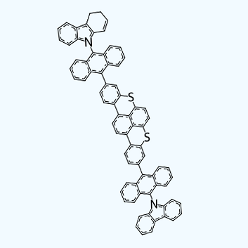 C1=Cc2c(c3ccccc3n2-c2c3ccccc3c(-c3ccc4c(c3)Sc3ccc5c6c(ccc-4c36)-c3ccc(-c4c6ccccc6c(-n6c7ccccc7c7ccccc76)c6ccccc46)cc3S5)c3ccccc23)CC1